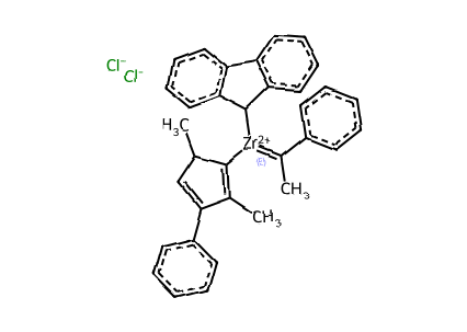 CC1=[C](/[Zr+2](=[C](\C)c2ccccc2)[CH]2c3ccccc3-c3ccccc32)C(C)C=C1c1ccccc1.[Cl-].[Cl-]